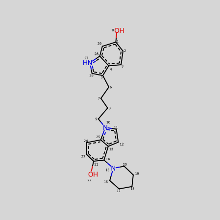 Oc1ccc2c(CCCCn3ccc4c(N5CCCCC5)c(O)ccc43)c[nH]c2c1